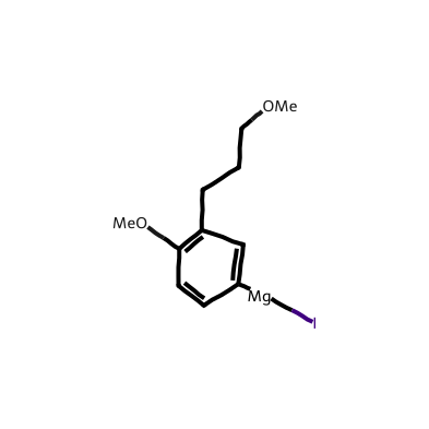 COCCCc1c[c]([Mg][I])ccc1OC